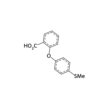 CSc1ccc(Oc2ccccc2C(=O)O)cc1